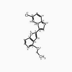 CCOc1nccc2oc(-c3cnc4ccc(Cl)nn34)cc12